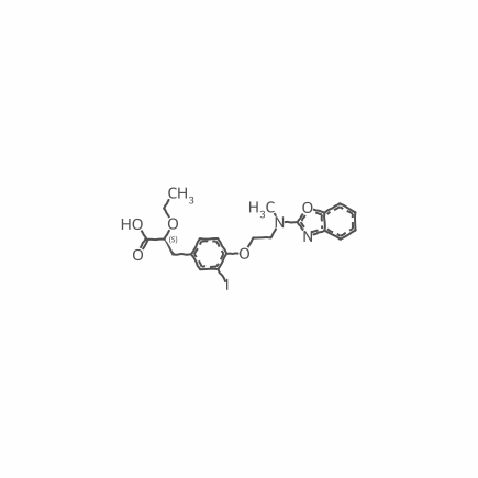 CCO[C@@H](Cc1ccc(OCCN(C)c2nc3ccccc3o2)c(I)c1)C(=O)O